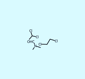 CC(Cl)Cl.CN(C)C=O.ClCCCl